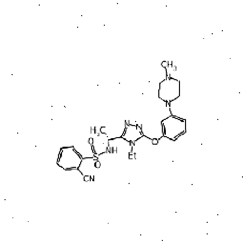 CCn1c(Oc2cccc(N3CCN(C)CC3)c2)nnc1[C@@H](C)NS(=O)(=O)c1ccccc1C#N